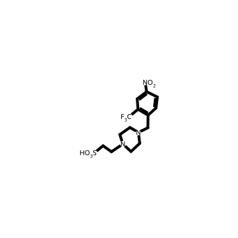 O=[N+]([O-])c1ccc(CN2CCN(CCS(=O)(=O)O)CC2)c(C(F)(F)F)c1